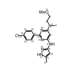 COCCN(C)c1cc(Nc2cc(C)[nH]n2)nc(-c2ccc(Cl)cc2)n1